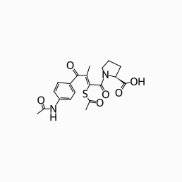 CC(=O)Nc1ccc(C(=O)C(C)=C(SC(C)=O)C(=O)N2CCC[C@H]2C(=O)O)cc1